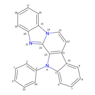 c1ccc(-n2c3ccccc3c3ccn4c5ccccc5nc4c32)cc1